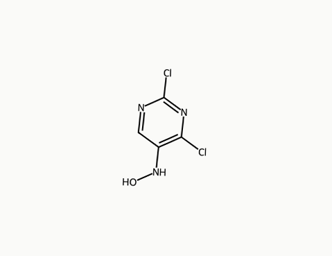 ONc1cnc(Cl)nc1Cl